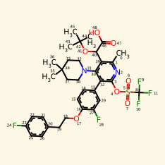 Cc1nc(OS(=O)(=O)C(F)(F)F)c(-c2ccc(OCCc3ccc(F)cc3)c(F)c2)c(N2CCC(C)(C)CC2)c1C(OC(C)(C)C)C(=O)O